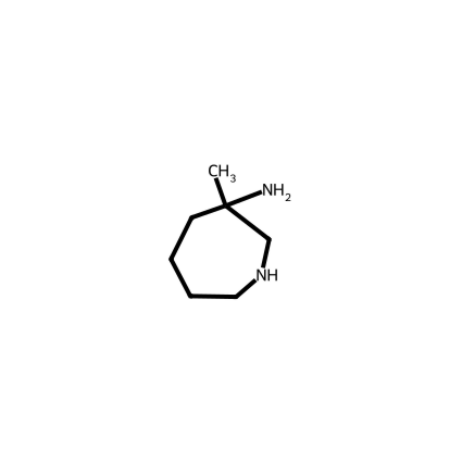 CC1(N)CCCCNC1